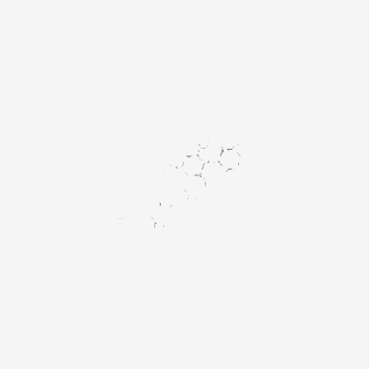 CC(=O)O[CH]CC(=O)c1c(C)cc(C)c(-c2ccccc2)c1C